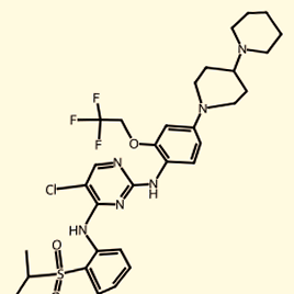 CC(C)S(=O)(=O)c1ccccc1Nc1nc(Nc2ccc(N3CCC(N4CCCCC4)CC3)cc2OCC(F)(F)F)ncc1Cl